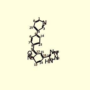 c1cncc(-c2ccc(-c3onc4ccc(-c5nnn[nH]5)cc34)cc2)c1